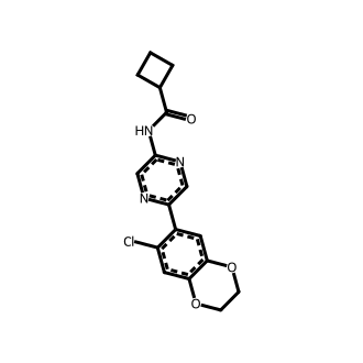 O=C(Nc1cnc(-c2cc3c(cc2Cl)OCCO3)cn1)C1CCC1